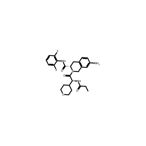 C[CH]C(=O)N[C@H](C(=O)N1Cc2cc(N)ccc2C[C@H]1C(=O)Nc1c(F)cccc1F)C1CCOCC1